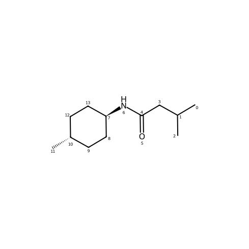 CC(C)CC(=O)N[C@H]1CC[C@H](C)CC1